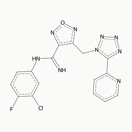 N=C(Nc1ccc(F)c(Cl)c1)c1nonc1Cn1nnnc1-c1ccccn1